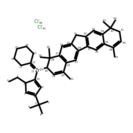 CCC1C=C(C(C)(C)C)C=[C]1[Zr+2](=[C]1CCCCC1)[CH]1C=C(C)c2cc3c(cc2C1(C)C)Cc1cc2c(cc1-3)C(C)=CCC2(C)C.[Cl-].[Cl-]